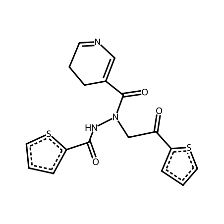 O=C(CN(NC(=O)c1cccs1)C(=O)C1=CN=CCC1)c1cccs1